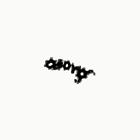 NC1(C(=O)N[C@H]2CC[C@@H](CC(=O)Nc3cc(C(F)(F)F)cc(C(F)(F)F)c3)CC2)CCOCC1